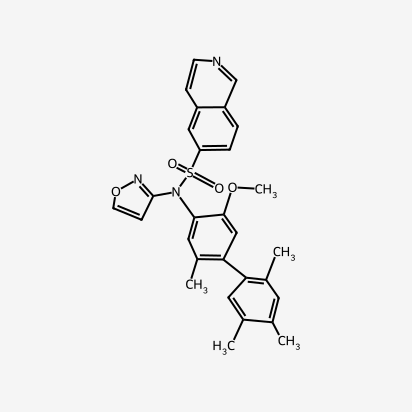 COc1cc(-c2cc(C)c(C)cc2C)c(C)cc1N(c1ccon1)S(=O)(=O)c1ccc2cnccc2c1